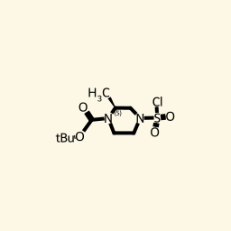 C[C@H]1CN(S(=O)(=O)Cl)CCN1C(=O)OC(C)(C)C